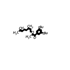 CC(C)=CCC[C@@H](C)CCOC(C)C(=O)c1cc(C(C)(C)C)cc(C(C)(C)C)c1